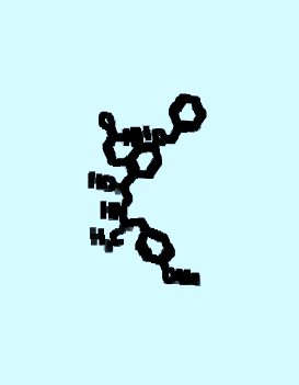 COc1ccc(C[C@H](C)NC[C@H](O)c2ccc(OCc3ccccc3)c3[nH]c(=O)ccc23)cc1